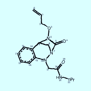 C=CCON1C(=O)N2CC1c1ccccc1N2CC(=O)NCCC